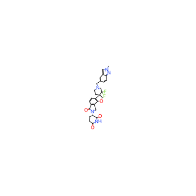 Cn1cc2cc(CN3CCC4(COc5c4ccc4c5CN([C@H]5CCC(=O)NC5=O)C4=O)C(F)(F)C3)ccc2n1